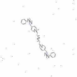 CN(/N=C/C1=CCN(CCSSCC[n+]2ccc(/C=N/N(C)c3ccccc3)cc2)C=C1)c1ccccc1